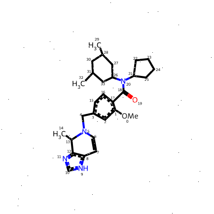 COc1cc(CN2C=Cc3[nH]cnc3C2C)ccc1C(=O)N(C1CCCC1)C1CC(C)CC(C)C1